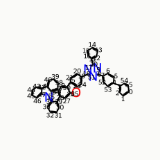 c1ccc(-c2ccc(-c3nc(-c4ccccc4)nc(-c4ccc5c(c4)oc4cc(-c6ccccc6-n6c7ccccc7c7ccccc76)ccc45)n3)cc2)cc1